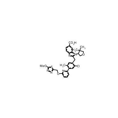 COc1nnc(COc2cccc(-c3cc(Cl)c(Cc4nc5ccc(C(=O)O)cc5n4C4COCC4(C)C)cc3C)n2)s1